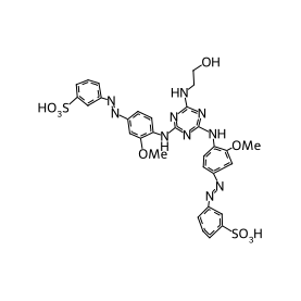 COc1cc(N=Nc2cccc(S(=O)(=O)O)c2)ccc1Nc1nc(NCCO)nc(Nc2ccc(N=Nc3cccc(S(=O)(=O)O)c3)cc2OC)n1